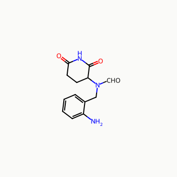 Nc1ccccc1CN(C=O)C1CCC(=O)NC1=O